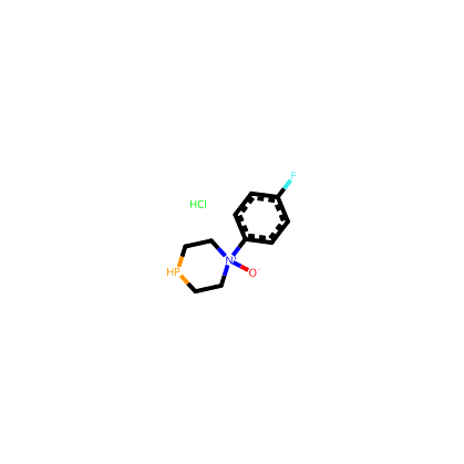 Cl.[O-][N+]1(c2ccc(F)cc2)CCPCC1